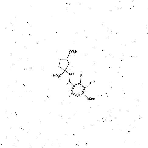 CCCCCCCCCCc1ccc(CNC2(C(=O)O)CCC(C(=O)O)C2)c(F)c1F